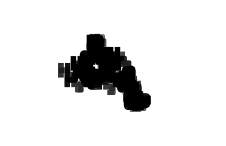 C/C=C1/NC(=O)[C@H](CSSc2ccccn2)NC(=O)[C@@H](C(C)C)NC(=O)C[C@H](/C=C/CCSC2CC(=O)N(CC3CCC(C(=O)ON4C(=O)CCC4=O)CC3)C2=O)OC(=O)[C@H](C(C)C)NC1=O